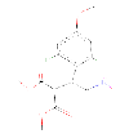 COC(=O)C(C(=O)OC)C(C[N+](=O)[O-])c1c(F)cc(OC)cc1F